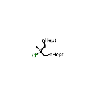 CCCCCCCC[Si](C)(Cl)CCCCCCCC